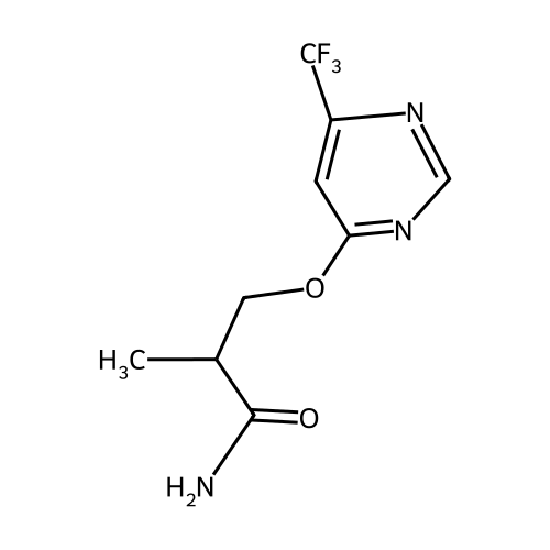 CC(COc1cc(C(F)(F)F)ncn1)C(N)=O